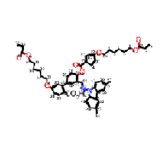 C=CC(=O)OCCCCCCOc1ccc(C(=O)Oc2ccc(-c3cc(OCCCCCCOC(=O)C=C)ccc3C(=O)O)cc2/C=N/n2c3ccc(C)cc3c3cc(C)ccc32)cc1